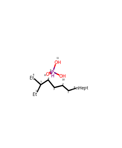 CCCCCCCCCCCC(CC)CC.O=[PH](O)O